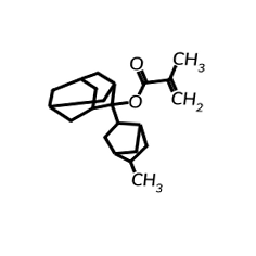 C=C(C)C(=O)OC1(C2CC3CC2CC3C)C2CC3CC(C2)CC1C3